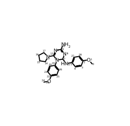 COc1ccc(NC2N=C(N)N=C(N3CCCC3)N2c2ccc(OC)cc2)cc1